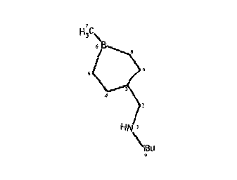 CCC(C)NCC1CCB(C)CC1